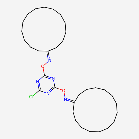 Clc1nc(ON=C2CCCCCCCCCCCCCC2)nc(ON=C2CCCCCCCCCCCCCC2)n1